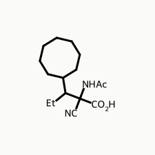 CCC(C1CCCCCCC1)C(C#N)(NC(C)=O)C(=O)O